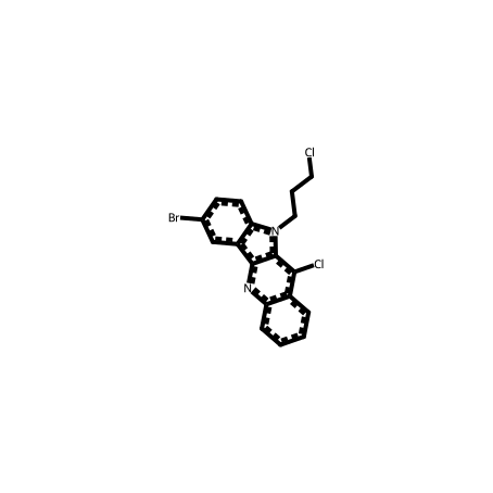 ClCCCn1c2ccc(Br)cc2c2nc3ccccc3c(Cl)c21